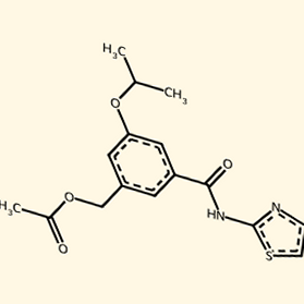 CC(=O)OCc1cc(OC(C)C)cc(C(=O)Nc2nccs2)c1